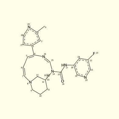 Cc1cc(C2=CC=CN3CCC[C@@H](C3)N(C(=O)Nc3cncc(F)c3)C=N2)ccn1